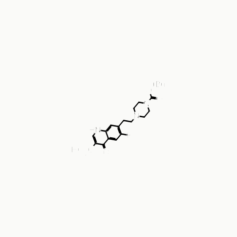 CC(C)(C)OC(=O)N1CCN(CCc2cc3[nH]cc(C(=O)O)c(=O)c3cc2F)CC1